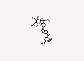 CC1=CC=C(Nc2ccc3c(c2)ncn3-c2ccc(C(C)O)c(NC3=C(C(=N)C#N)CNCC3)n2)NN1